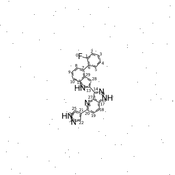 Fc1ccccc1-c1cccc2[nH]c(-c3n[nH]c4ccc(-c5cn[nH]c5)nc34)cc12